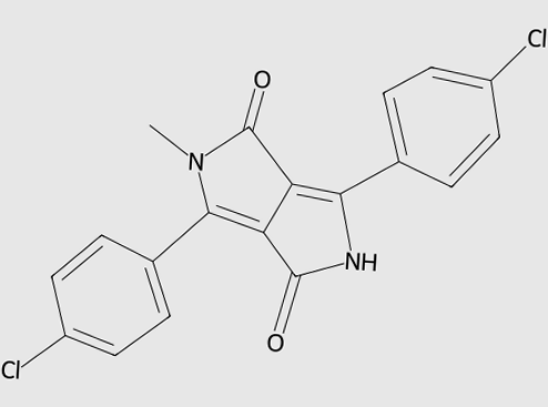 CN1C(=O)C2=C(c3ccc(Cl)cc3)NC(=O)C2=C1c1ccc(Cl)cc1